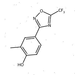 Cc1cc(-c2noc(C(F)(F)F)n2)ccc1O